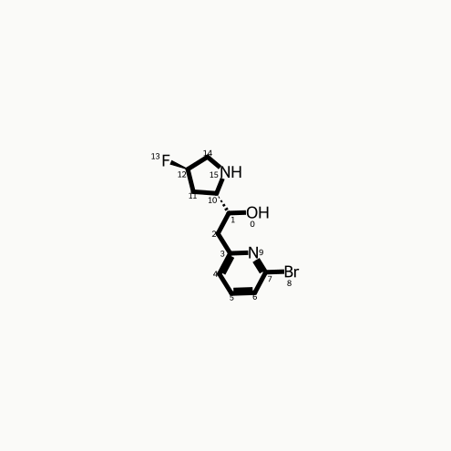 OC(Cc1cccc(Br)n1)[C@@H]1C[C@@H](F)CN1